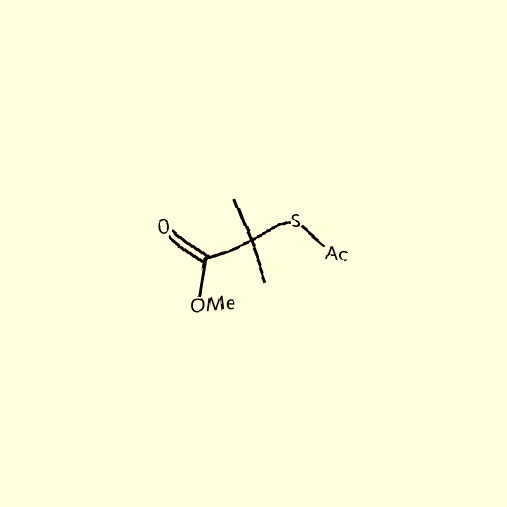 COC(=O)C(C)(C)SC(C)=O